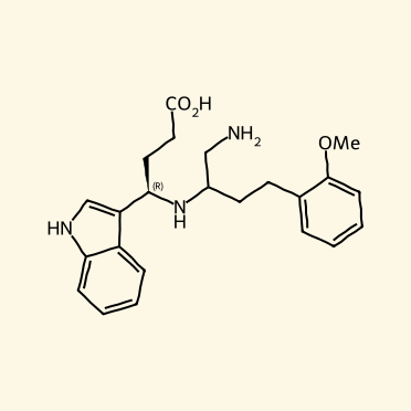 COc1ccccc1CCC(CN)N[C@H](CCC(=O)O)c1c[nH]c2ccccc12